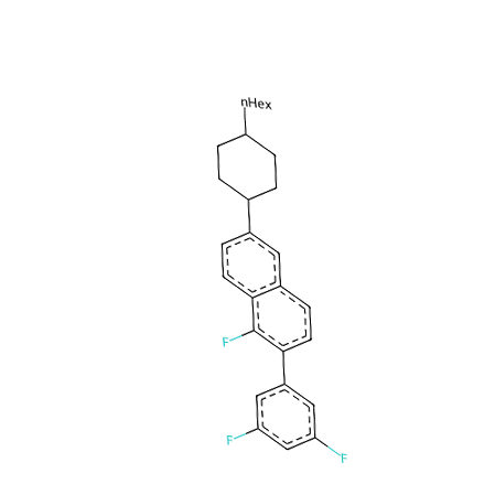 CCCCCCC1CCC(c2ccc3c(F)c(-c4cc(F)cc(F)c4)ccc3c2)CC1